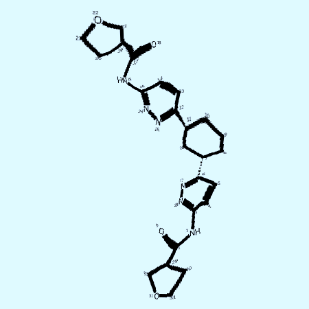 O=C(Nc1ccc([C@H]2CCC[C@H](c3ccc(NC(=O)C4CCOC4)nn3)C2)nn1)C1CCOC1